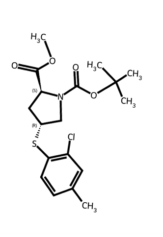 COC(=O)[C@@H]1C[C@@H](Sc2ccc(C)cc2Cl)CN1C(=O)OC(C)(C)C